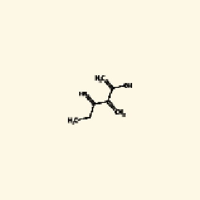 C=C(O)C(=C)C(=N)CC